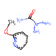 COc1ccccn1.NC(=O)N(N)N